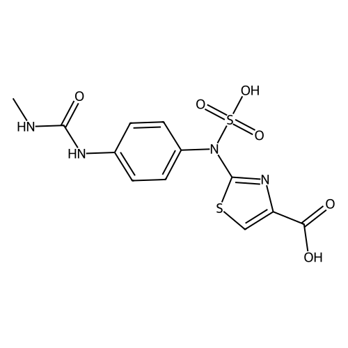 CNC(=O)Nc1ccc(N(c2nc(C(=O)O)cs2)S(=O)(=O)O)cc1